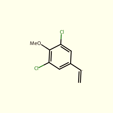 C=[C]c1cc(Cl)c(OC)c(Cl)c1